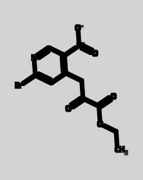 CCOC(=O)C(=O)Cc1cc(Br)ncc1[N+](=O)[O-]